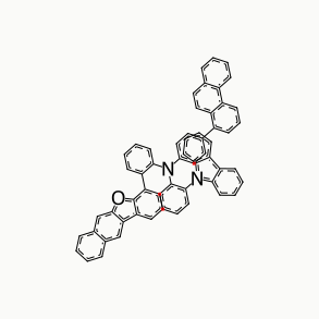 c1ccc(N(c2ccc(-c3cccc4c3ccc3ccccc34)cc2)c2ccccc2-n2c3ccccc3c3ccccc32)c(-c2cccc3c2oc2cc4ccccc4cc23)c1